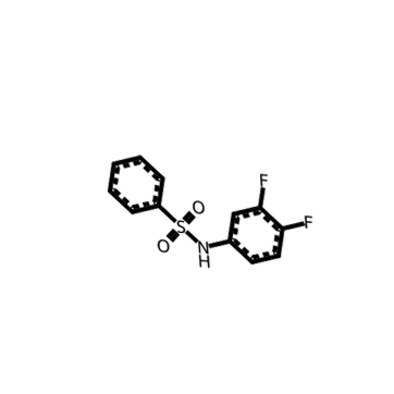 O=S(=O)(Nc1ccc(F)c(F)c1)c1ccccc1